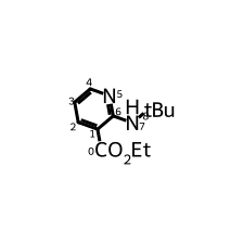 CCOC(=O)c1cccnc1NC(C)(C)C